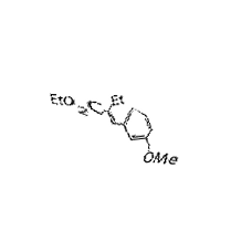 CCOC(=O)/C(=C/c1cccc(OC)c1)CC